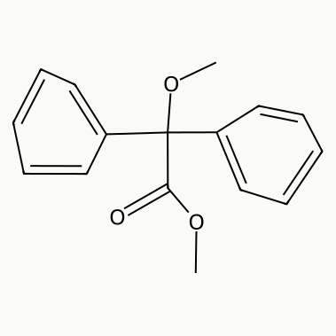 COC(=O)C(OC)(c1ccccc1)c1ccccc1